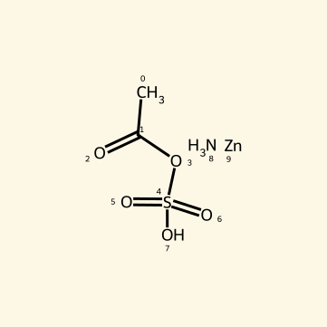 CC(=O)OS(=O)(=O)O.N.[Zn]